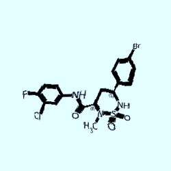 CN1[C@@H](C(=O)Nc2ccc(F)c(Cl)c2)C[C@@H](c2ccc(Br)cc2)NS1(=O)=O